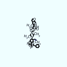 C/C=C\c1cc(C(OCc2ccccc2)(C(F)(F)F)C(F)(F)F)ccc1N1CC(C)N(C(=O)CN2C(=O)N[C@](C)(c3cc4ccoc4cn3)C2=O)CC1C